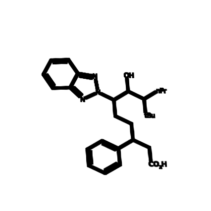 CCCC(C(O)C(CCC(CC(=O)O)c1ccccc1)n1nc2ccccc2n1)C(C)(C)C